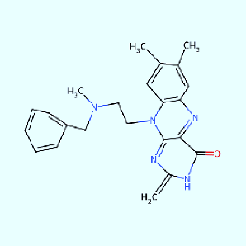 C=c1nc2c(c(=O)[nH]1)=Nc1cc(C)c(C)cc1N2CCN(C)Cc1ccccc1